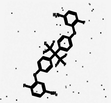 Nc1ccc(F)c(Oc2ccc(C(c3ccc(Oc4cc(N)ccc4F)cc3)(C(F)(F)F)C(F)(F)F)cc2)c1